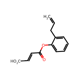 C=CCc1ccccc1OC(=O)/C=C/C(=O)O